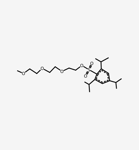 COCCOCCOCCOS(=O)(=O)c1c(C(C)C)cc(C(C)C)cc1C(C)C